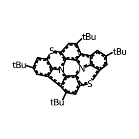 CC(C)(C)c1cc2sc3cc(C(C)(C)C)c4c5cc(C(C)(C)C)cc6sc7cc(C(C)(C)C)c8c(c1)c2n1c3c4n(c65)c7c81